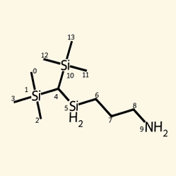 C[Si](C)(C)C([SiH2]CCCN)[Si](C)(C)C